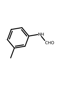 Cc1[c]ccc(NC=O)c1